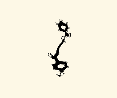 COc1ccc(C(=O)CCCOC(=O)c2ccccc2)cc1